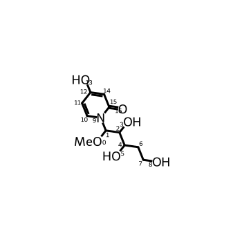 COC(C(O)C(O)CCO)n1ccc(O)cc1=O